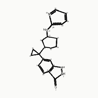 O=c1[nH][nH]c2cc(C3(C4CCCC(Nc5ccccn5)C4)CC3)ccc12